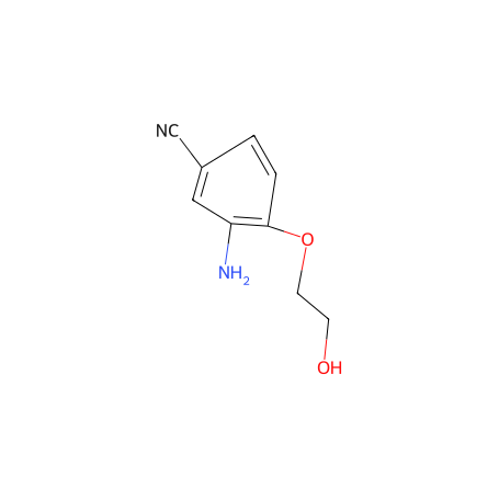 N#Cc1ccc(OCCO)c(N)c1